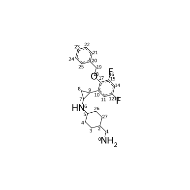 NCC1CCC(NC2CC2c2cc(F)cc(F)c2OCc2ccccc2)CC1